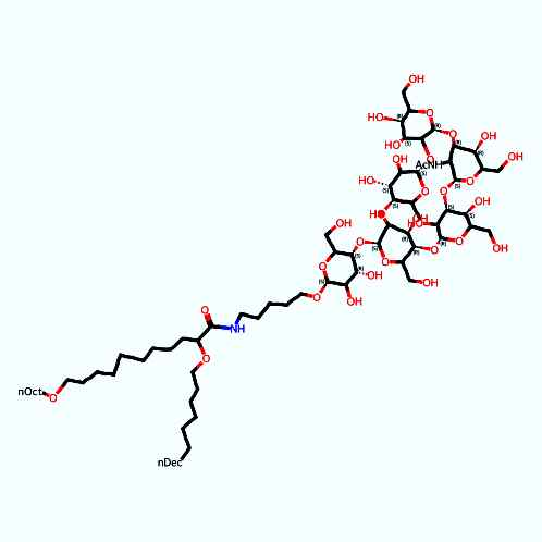 CCCCCCCCCCCCCCCCOC(CCCCCCCCCOCCCCCCCC)C(=O)NCCCCCO[C@H]1OC(CO)[C@@H](O[C@@H]2OC(CO)[C@H](O[C@H]3OC(CO)[C@H](O)[C@H](O[C@@H]4OC(CO)[C@H](O)[C@H](O[C@@H]5OC(CO)[C@H](O)[C@H](O)C5O[C@@H]5OC(C)[C@@H](O)[C@H](O)C5O)C4NC(C)=O)C3O)[C@H](O)C2O)[C@H](O)C1O